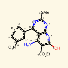 CCOC(=O)c1c(O)nc2nc(SC)nc(-c3cccc([N+](=O)[O-])c3)c2c1N